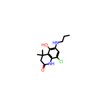 CCCNc1cc(Cl)c2c(c1O)C(C)(C)CC(=O)N2